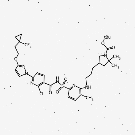 Cc1ccc(S(=O)(=O)NC(=O)c2ccc(-n3ccc(OCCC4(C(F)(F)F)CC4)n3)nc2Cl)nc1NCCCC1CN(C(=O)OC(C)(C)C)C(C)(C)C1